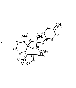 COCC(C)(COC)CC1(C(OC)C(C)(COC)CC2CCC(C)CC2)CCCCC1